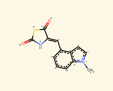 Cn1ccc2c(C=C3NC(=O)SC3=O)cccc21